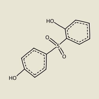 O=S(=O)(c1ccc(O)cc1)c1ccccc1O